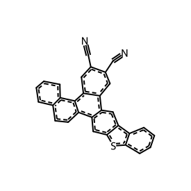 N#Cc1cc2c3cc4c(cc3c3ccc5ccccc5c3c2cc1C#N)sc1ccccc14